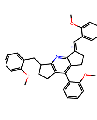 COc1ccccc1/C=C1\CCc2c1nc1c(c2-c2ccccc2OC)CCC1Cc1ccccc1OC